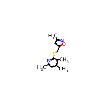 Cc1cc(CSc2nc(C)cc(C)c2C)on1